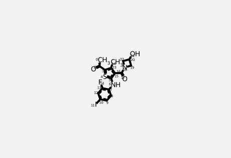 CC(=O)c1sc(Nc2ccc(I)cc2F)c(C(=O)N2CC(O)C2)c1C